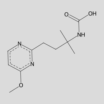 COc1ccnc(CCC(C)(C)NC(=O)O)n1